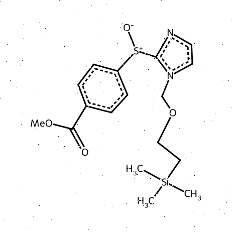 COC(=O)c1ccc([S+]([O-])c2nccn2COCC[Si](C)(C)C)cc1